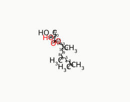 CC(C)=CCCC(C)=CCCC(C)=CCOC(=O)C(O)CC(=O)O